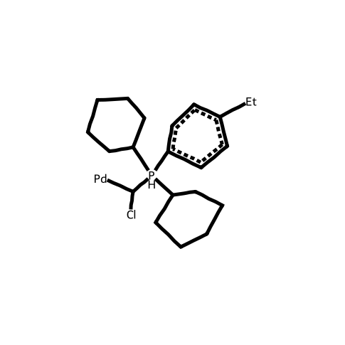 CCc1ccc([PH]([CH](Cl)[Pd])(C2CCCCC2)C2CCCCC2)cc1